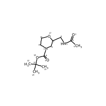 CC(=O)NCC1CN(C(=O)OC(C)(C)C)CCO1